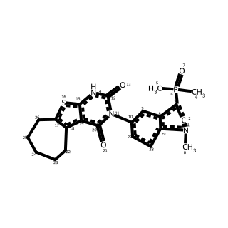 Cn1cc(P(C)(C)=O)c2cc(-n3c(=O)[nH]c4sc5c(c4c3=O)CCCCC5)ccc21